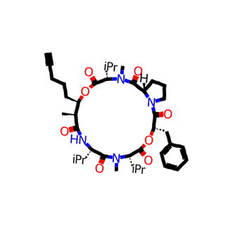 C#CCCC[C@H]1OC(=O)[C@H](C(C)C)N(C)C(=O)[C@@H]2CCCN2C(=O)[C@H](Cc2ccccc2)OC(=O)[C@H](C(C)C)N(C)C(=O)[C@H](C(C)C)NC(=O)[C@H]1C